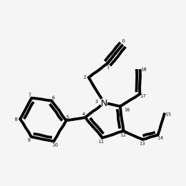 C#CCn1c(-c2ccccc2)cc(/C=C\C)c1C=C